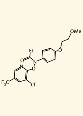 CCC(=O)N(Oc1ncc(C(F)(F)F)cc1Cl)c1ccc(OCCOC)cc1